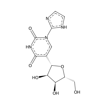 O=c1[nH]c(=O)n(-c2ncc[nH]2)cc1[C@@H]1O[C@H](CO)[C@@H](O)[C@H]1O